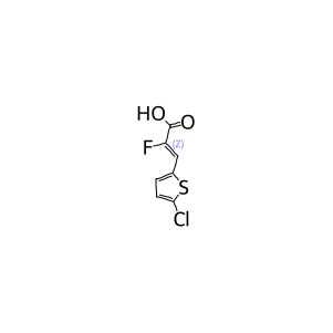 O=C(O)/C(F)=C/c1ccc(Cl)s1